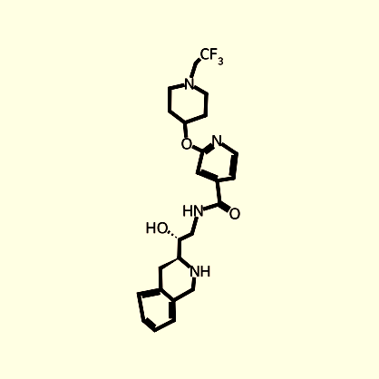 O=C(NC[C@@H](O)[C@@H]1Cc2ccccc2CN1)c1ccnc(OC2CCN(CC(F)(F)F)CC2)c1